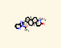 CC(=O)n1c([C@H]2CC[C@H]3[C@@H]4CC[C@H]5N(C)C(=O)C=C[C@]5(C)[C@H]4CC[C@]23C)nc2cccnc21